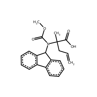 C=CCC(C)(C(=O)O)N(C(=O)OC)C1c2ccccc2-c2ccccc21